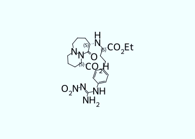 CCOC(=O)[C@H](CCc1ccc(NC(N)=N[N+](=O)[O-])cc1)N[C@H]1CCCN2CCC[C@@H](C(=O)O)N2C1=O